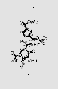 CCCC(=O)OCN(C(=O)[C@@H](N=[N+]=[N-])C(C)CC)[C@H](C[C@@H](O[Si](CC)(CC)CC)c1nc(C(=O)OC)cs1)C(C)C